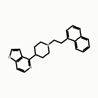 c1ccc2c(CCN3CCC(c4nccc5occc45)CC3)cccc2c1